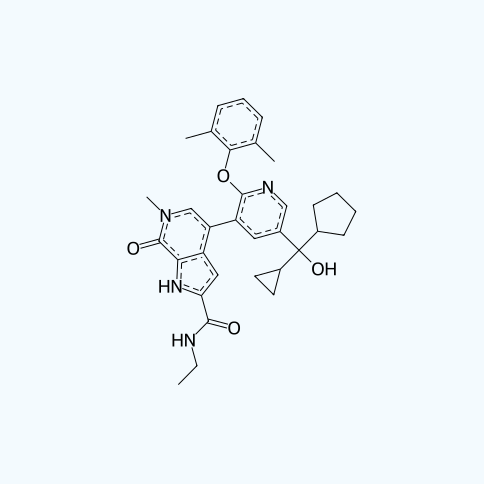 CCNC(=O)c1cc2c(-c3cc(C(O)(C4CCCC4)C4CC4)cnc3Oc3c(C)cccc3C)cn(C)c(=O)c2[nH]1